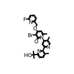 Cc1cnc(-c2nc(C(C)(C)O)ccc2C)cc1-n1c(C)cc(OCc2cccc(F)n2)c(Br)c1=O